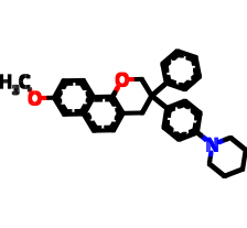 COc1ccc2c3c(ccc2c1)CC(c1ccccc1)(c1ccc(N2CCCCC2)cc1)CO3